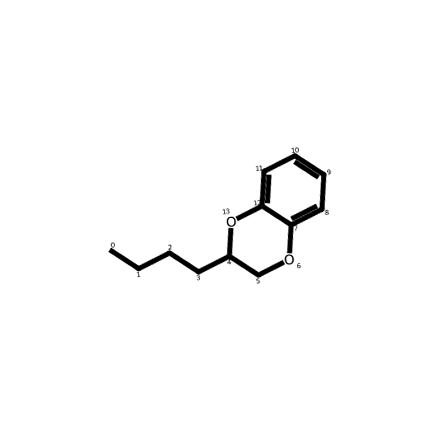 CCCCC1COc2ccccc2O1